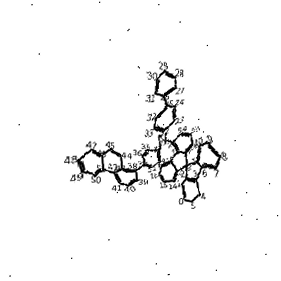 C1=CC2=C(CC1)c1ccccc1C21c2ccccc2-c2c(N(c3ccc(-c4ccccc4)cc3)c3ccc(-c4cccc5c4ccc4ccccc45)cc3)cccc21